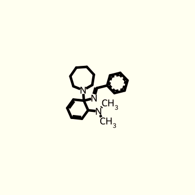 CN(C)C1C=CC=CC1(N=Cc1ccccc1)N1CCCCCC1